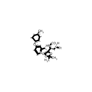 CCSC[C@H](NC(=O)O)[C@@]1(Cc2cc(O[C@H]3CC[C@H](C)CC3)ccn2)OC(C)(C)OC1=O